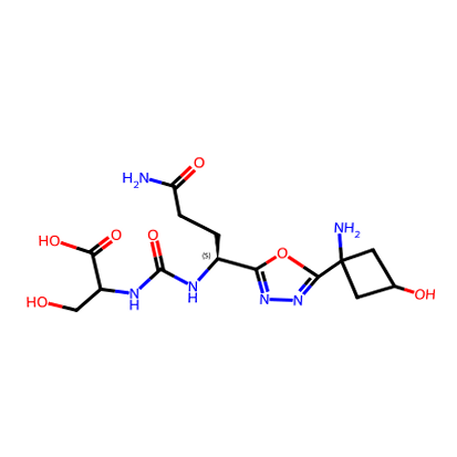 NC(=O)CC[C@H](NC(=O)NC(CO)C(=O)O)c1nnc(C2(N)CC(O)C2)o1